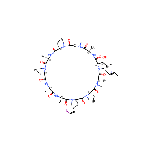 C/C=C/C[C@@H](C)[C@@H](O)[C@H]1C(=O)N[C@@H](CC)C(=O)N(C)CC(=O)N(C)[C@@H](CC(C)C)C(=O)N[C@@H](C(C)C)C(=O)N(C)[C@@H](CC(C)C)C(=O)N[C@@H](C)C(=O)N[C@H](C)C(=O)N(C)[C@@H](CC(C)C)C(=O)N(C)[C@@H](CC(C)C)C(=O)N(C)[C@@H](C(C)C)C(=O)N1C.C=CI